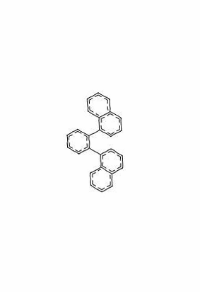 c1ccc(-c2cccc3ccccc23)c(-c2cccc3ccccc23)c1